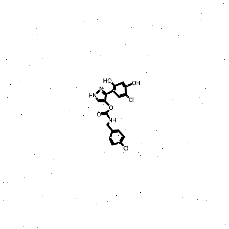 O=C(NCc1ccc(Cl)cc1)Oc1c[nH]nc1-c1cc(Cl)c(O)cc1O